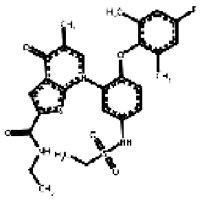 CCNC(=O)c1cc2c(=O)c(C)cn(-c3cc(NS(=O)(=O)CC)ccc3Oc3c(C)cc(F)cc3C)c2s1